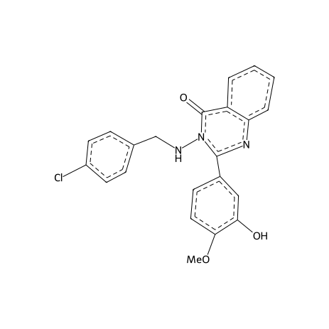 COc1ccc(-c2nc3ccccc3c(=O)n2NCc2ccc(Cl)cc2)cc1O